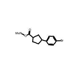 CNOC(=O)C1CCC(c2ccc(Br)cc2)C1